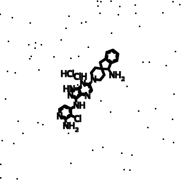 Cl.Cl.Nc1nccc(Nc2n[nH]c3nc(N4CCC5(CC4)Cc4ccccc4[C@H]5N)cnc23)c1Cl